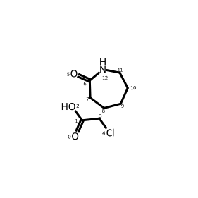 O=C(O)CCl.O=C1CCCCCN1